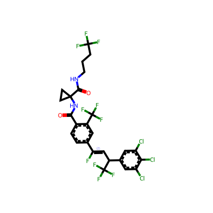 O=C(NC1(C(=O)NCCCC(F)(F)F)CC1)c1ccc(/C(F)=C/C(c2cc(Cl)c(Cl)c(Cl)c2)C(F)(F)F)cc1C(F)(F)F